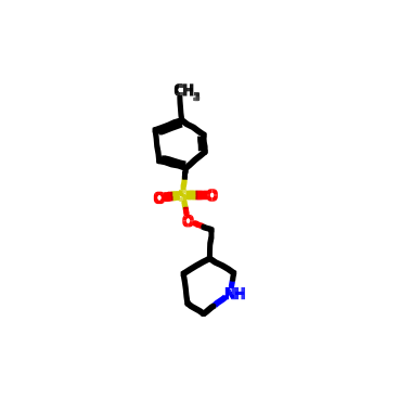 Cc1ccc(S(=O)(=O)OCC2CCCNC2)cc1